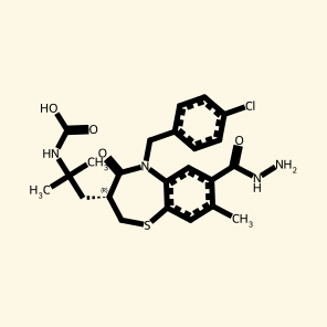 Cc1cc2c(cc1C(=O)NN)N(Cc1ccc(Cl)cc1)C(=O)[C@@H](CC(C)(C)NC(=O)O)CS2